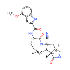 COc1cccc2[nH]c(C(=O)N[C@@H](CC3CC3)C(=O)N[C@@]3(C#N)C[C@H]4CNC(=O)[C@@H]4C3C)cc12